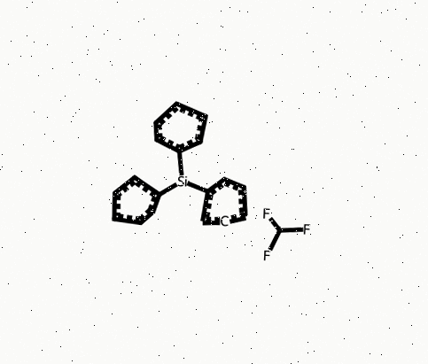 F[C](F)F.c1ccc([Si](c2ccccc2)c2ccccc2)cc1